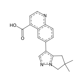 CC1(C)Cc2c(-c3ccc4nccc(C(=O)O)c4c3)cnn2C1